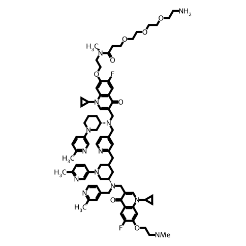 CNCCOc1cc2c(cc1F)c(=O)c(CN(Cc1ccnc(C)c1)[C@H]1CC(Cc3cc(CN(Cc4cn(C5CC5)c5cc(OCCN(C)C(=O)CCOCCOCCOCCN)c(F)cc5c4=O)[C@H]4CCCN(c5ccc(C)nc5)C4)ccn3)CN(c3ccc(C)nc3)C1)cn2C1CC1